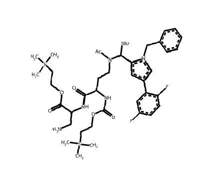 CC(=O)N(CCC(NC(=O)OCC[Si](C)(C)C)C(=O)NC(CN)C(=O)OCC[Si](C)(C)C)C(c1cc(-c2cc(F)ccc2F)cn1Cc1ccccc1)C(C)(C)C